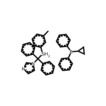 Cc1cccc([SiH2]C(c2ccccc2)(c2ccccc2)n2ccnc2)c1.c1ccc(B(c2ccccc2)C2CC2)cc1